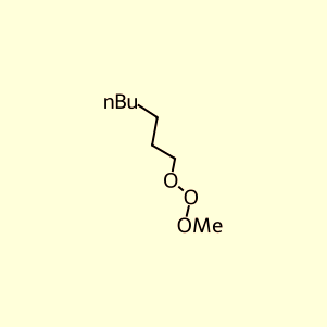 CCCCCCCOOOC